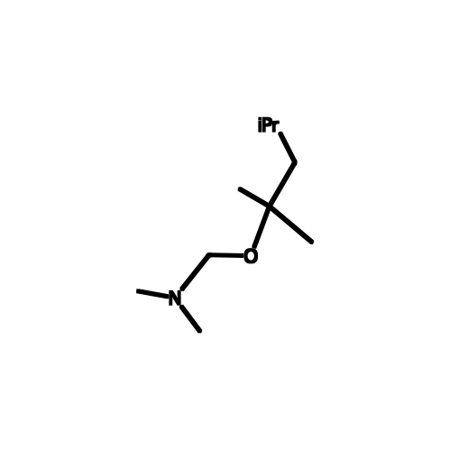 CC(C)CC(C)(C)OCN(C)C